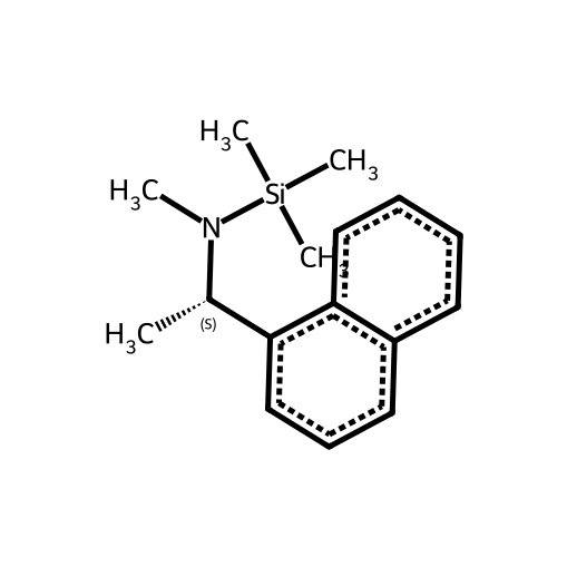 C[C@@H](c1cccc2ccccc12)N(C)[Si](C)(C)C